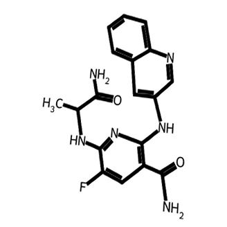 CC(Nc1nc(Nc2cnc3ccccc3c2)c(C(N)=O)cc1F)C(N)=O